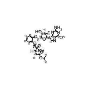 COc1nc(N)nc2c1ncn2[C@@H]1O[C@H](COc2ccccc2OOP(=O)(O)N[C@@H](C)C(=O)OC(C)C)[C@@H](O)[C@@]1(C)F